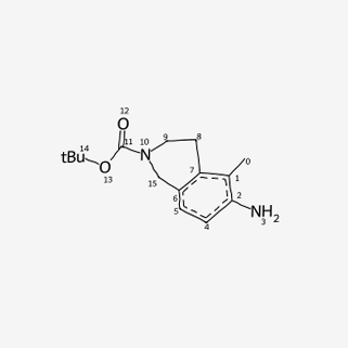 Cc1c(N)ccc2c1CCN(C(=O)OC(C)(C)C)C2